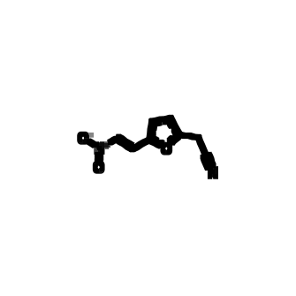 N#CCc1ccc(C=C[N+](=O)[O-])o1